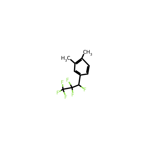 Cc1ccc(C(F)C(F)(F)C(F)(F)F)cc1C